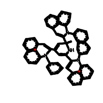 CC1(C(=Cc2ccccc2)N(c2ccccc2)c2ccccc2)C=C(C(=Cc2ccccc2)N(c2ccccc2)c2ccccc2)C=C(C(=Cc2ccccc2)N(c2ccccc2)c2ccccc2)N1